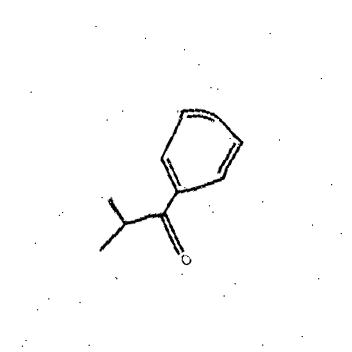 CC(C)C(=O)c1c[c]ccc1